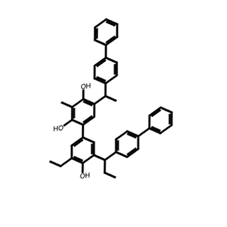 CCc1cc(-c2cc(C(C)c3ccc(-c4ccccc4)cc3)c(O)c(C)c2O)cc(C(CC)c2ccc(-c3ccccc3)cc2)c1O